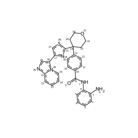 Nc1ccccc1NC(=O)c1ccc(C2(c3nc(-c4cnc5ccccn45)cs3)CCOCC2)cc1